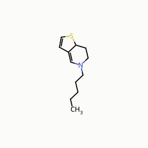 CCCCCN1C=C2C=CSC2CC1